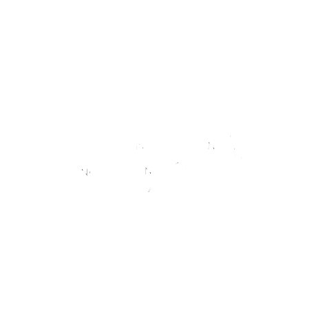 C[C@@H]1C[C@H](COc2ccc(S(C)(=O)=O)nc2)CN1C[C@@H](O)c1cccc(C#N)c1